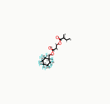 CCC(C)C(=O)OCCC(=O)OCC1(F)C(F)(F)C(F)(F)C(F)(F)C(F)(F)C1(F)F